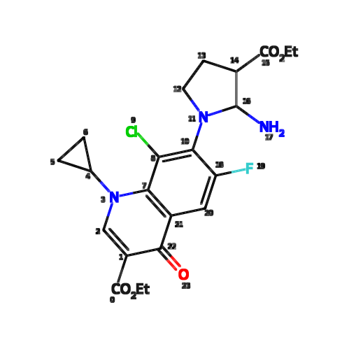 CCOC(=O)c1cn(C2CC2)c2c(Cl)c(N3CCC(C(=O)OCC)C3N)c(F)cc2c1=O